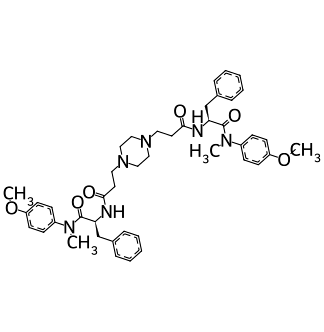 COc1ccc(N(C)C(=O)[C@H](Cc2ccccc2)NC(=O)CCN2CCN(CCC(=O)N[C@@H](Cc3ccccc3)C(=O)N(C)c3ccc(OC)cc3)CC2)cc1